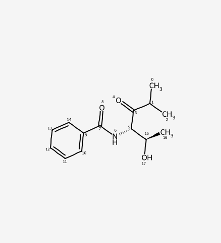 CC(C)C(=O)[C@@H](NC(=O)c1ccccc1)[C@@H](C)O